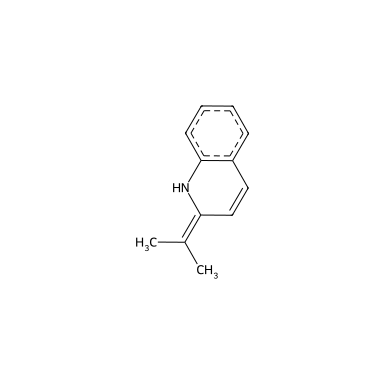 CC(C)=C1C=Cc2ccccc2N1